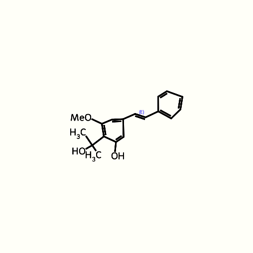 COc1cc(/C=C/c2ccccc2)cc(O)c1C(C)(C)O